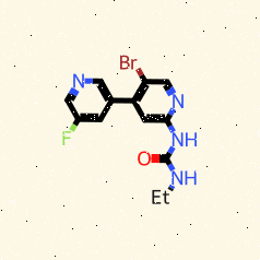 CCNC(=O)Nc1cc(-c2cncc(F)c2)c(Br)cn1